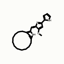 COC1=CC(c2ccc[nH]2)=NC1=Cc1[nH]c2cc1CCCCCCCCCCC2